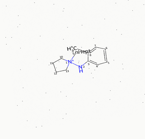 CCCCCCC[N+]1(Nc2ccccc2C)CCCC1